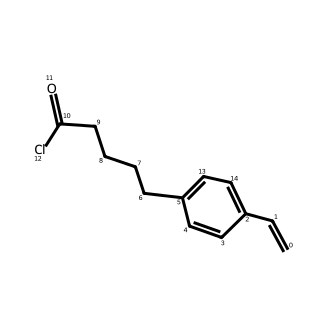 C=Cc1ccc(CCCCC(=O)Cl)cc1